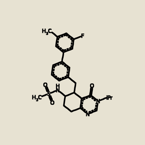 Cc1cc(F)cc(-c2cccc(CC3c4c(ncn(C(C)C)c4=O)CCC3NS(C)(=O)=O)c2)c1